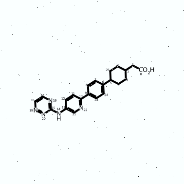 O=C(O)CC1CCC(c2ccc(-c3ccc(Nc4nccnn4)cn3)cc2)CC1